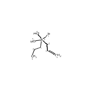 C=CCP(O)(O)(O)CCC